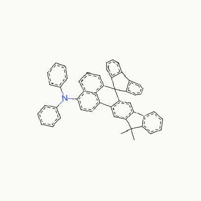 CC1(C)c2ccccc2-c2cc3c(cc21)-c1ccc(N(c2ccccc2)c2ccccc2)c2cccc(c12)C31c2ccccc2-c2ccccc21